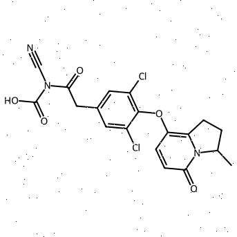 CC1CCc2c(Oc3c(Cl)cc(CC(=O)N(C#N)C(=O)O)cc3Cl)ccc(=O)n21